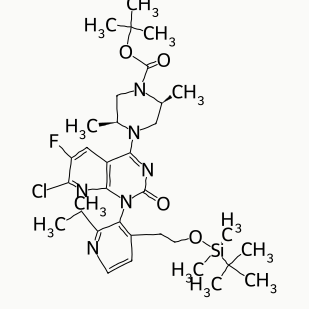 CC(C)c1nccc(CCO[Si](C)(C)C(C)(C)C)c1-n1c(=O)nc(N2C[C@H](C)N(C(=O)OC(C)(C)C)C[C@@H]2C)c2cc(F)c(Cl)nc21